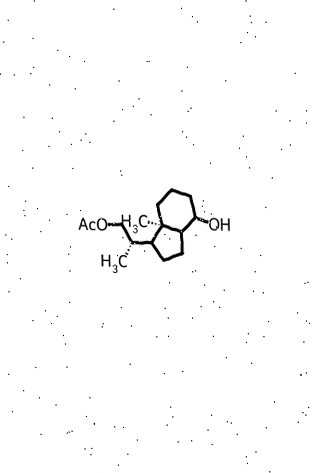 CC(=O)OC[C@@H](C)C1CCC2C(O)CCC[C@@]21C